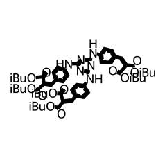 CC(C)COC(=O)C(=Cc1ccc(Nc2nc(Nc3ccc(C=C(C(=O)OCC(C)C)C(=O)OCC(C)C)cc3)nc(Nc3ccc(C=C(C(=O)OCC(C)C)C(=O)OCC(C)C)cc3)n2)cc1)C(=O)OCC(C)C